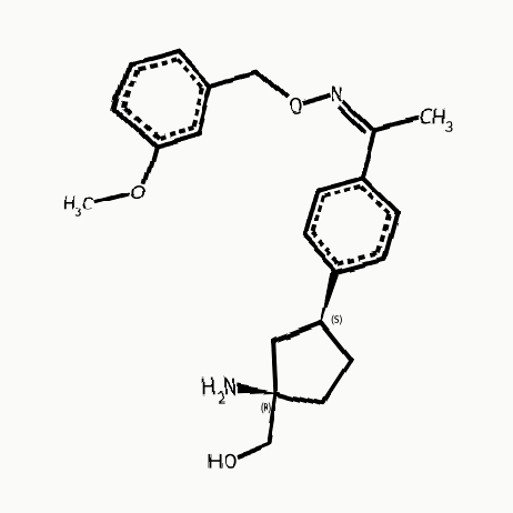 COc1cccc(CON=C(C)c2ccc([C@H]3CC[C@](N)(CO)C3)cc2)c1